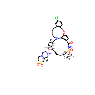 CCO[C@]1(CN2CCN3CCS(=O)(=O)C[C@H]3C2)/C=C/C[C@H](C)[C@@H](C)S(=O)(=O)NC(=O)c2ccc3c(c2)N(CCCCc2cc(Cl)ccc2CO3)C[C@@H]2CC[C@H]21